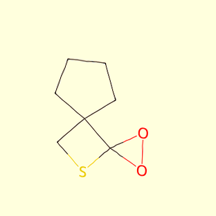 C1CCC2(C1)CSC21OO1